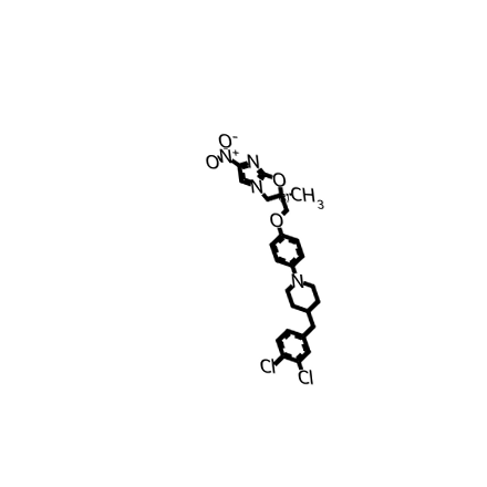 C[C@]1(COc2ccc(N3CCC(Cc4ccc(Cl)c(Cl)c4)CC3)cc2)Cn2cc([N+](=O)[O-])nc2O1